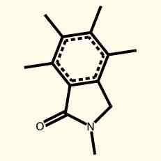 Cc1c(C)c(C)c2c(c1C)CN(C)C2=O